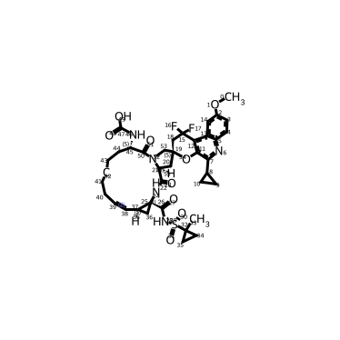 COc1ccc2nc(C3CC3)c3c(c2c1)C(F)(F)C[C@]1(C[C@H]2C(=O)N[C@]4(C(=O)NS(=O)(=O)C5(C)CC5)C[C@H]4/C=C\CCCCC[C@H](NC(=O)O)C(=O)N2C1)O3